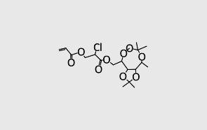 C=CC(=O)OCC(Cl)C(=O)OCC1OOC(C)(C)OC(C)C2OC(C)(C)OC12